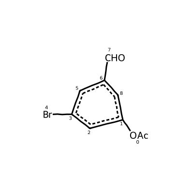 CC(=O)Oc1cc(Br)cc(C=O)c1